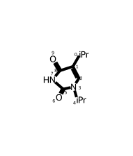 CC(C)c1cn(C(C)C)c(=O)[nH]c1=O